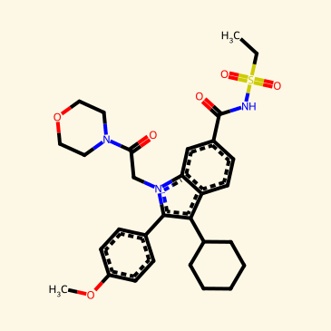 CCS(=O)(=O)NC(=O)c1ccc2c(C3CCCCC3)c(-c3ccc(OC)cc3)n(CC(=O)N3CCOCC3)c2c1